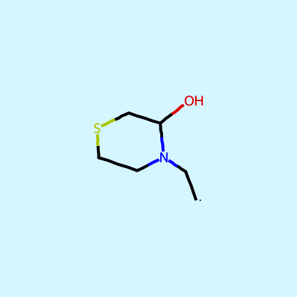 [CH2]CN1CCSCC1O